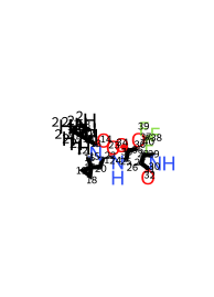 [2H]C([2H])([2H])C([2H])(C([2H])([2H])[2H])C([2H])([2H])C(=O)N1CC2(CC2)C[C@H]1C(=O)N[C@@H](C[C@@H]1CCNC1=O)C(=O)COC(F)(F)F